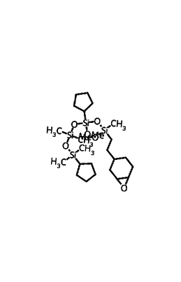 CO[Si](C)(CCC1CCC2OC2C1)O[Si](OC)(O[Si](C)(C)O[Si](C)(C)C1CCCC1)C1CCCC1